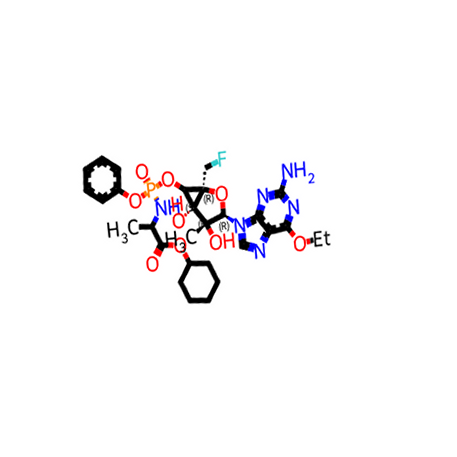 CCOc1nc(N)nc2c1ncn2[C@@H]1O[C@]2(CF)C(OP(=O)(NC(C)C(=O)OC3CCCCC3)Oc3ccccc3)[C@]2(O)[C@@]1(C)O